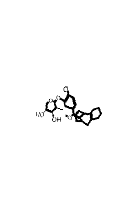 CO/C(=C1\C2CCCC1C1=C(CCCC1)C2)c1ccc(Cl)c(OC2OC[C@@H](O)[C@H](O)[C@@H]2C)c1